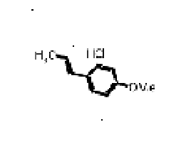 C/C=C/c1ccc(OC)cc1.Cl